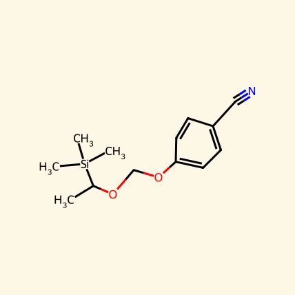 CC(OCOc1ccc(C#N)cc1)[Si](C)(C)C